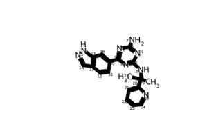 CC(C)(Nc1nc(N)nc(-c2ccc3cn[nH]c3c2)n1)c1ccccn1